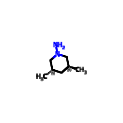 C[C@H]1C[C@H](C)CN(N)C1